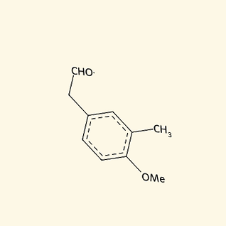 COc1ccc(C[C]=O)cc1C